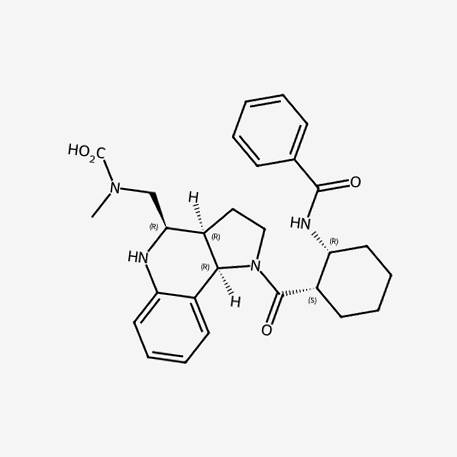 CN(C[C@@H]1Nc2ccccc2[C@H]2[C@@H]1CCN2C(=O)[C@H]1CCCC[C@H]1NC(=O)c1ccccc1)C(=O)O